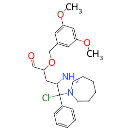 COc1cc(COC(C=O)CC(N)C(Cl)(c2ccccc2)N2CCCCCC2)cc(OC)c1